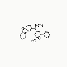 O=C(O)CC(CCc1ccccc1)C(=NO)c1ccc2oc3ccccc3c2c1